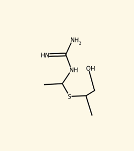 CC(CO)SC(C)NC(=N)N